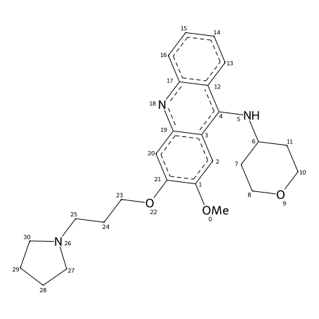 COc1cc2c(NC3CCOCC3)c3ccccc3nc2cc1OCCCN1CCCC1